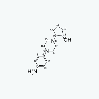 Nc1ccc(N2CCN(C3CCCC3O)CC2)cc1